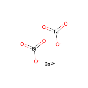 [Ba+2].[O]=[Bi](=[O])[O-].[O]=[Ta](=[O])[O-]